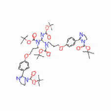 CC(C)(C)OC(=O)N=C(N(CCCOc1ccc(C2=NCCN2C(=O)OC(C)(C)C)cc1)C(=O)OC(C)(C)C)N(CCCOc1ccc(C2=NCCN2C(=O)OC(C)(C)C)cc1)C(=O)OC(C)(C)C